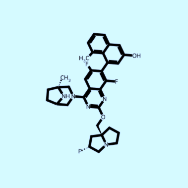 Cc1cccc2cc(O)cc(-c3c(F)cc4c(N5CC6CC[C@@](C)(C5)N6)nc(OC[C@@]56CCCN5C[C@H](F)C6)nc4c3F)c12